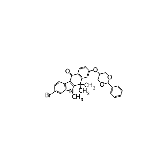 Cn1c2c(c3ccc(Br)cc31)C(=O)c1ccc(OC3COC(c4ccccc4)OC3)cc1C2(C)C